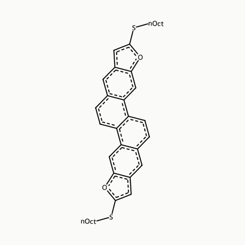 CCCCCCCCSc1cc2cc3ccc4c5cc6oc(SCCCCCCCC)cc6cc5ccc4c3cc2o1